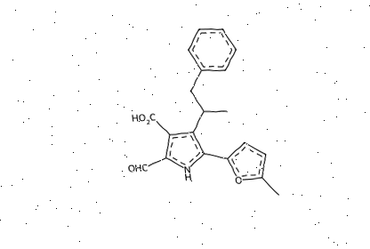 Cc1ccc(-c2[nH]c(C=O)c(C(=O)O)c2C(C)Cc2ccccc2)o1